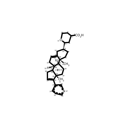 C[C@]12CC[C@H](C3CC(C(=O)O)CCO3)CC1=CC[C@@H]1[C@@H]2CC[C@]2(C)C(c3cccnc3)=CC[C@@H]12